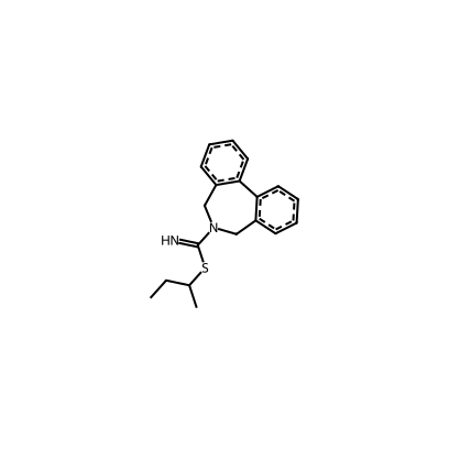 CCC(C)SC(=N)N1Cc2ccccc2-c2ccccc2C1